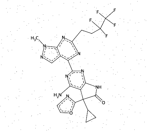 Cn1ncc2c(-c3nc(N)c4c(n3)NC(=O)C4(c3ncco3)C3CC3)nc(CCC(F)(F)C(F)(F)F)nc21